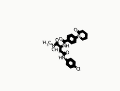 CN(C)C(=O)C(CC(=O)Nc1ccc(Cl)cc1)NC(=O)c1ccc(N2CCCCC2=O)cc1